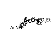 CCOC(=O)[C@H](Cc1ccc(OCc2sc(-c3ccc(NC(C)=O)cc3)cc2C)cc1)OCC